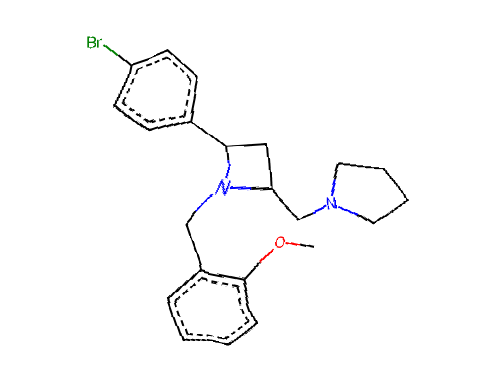 COc1ccccc1CN1C(CN2CCCC2)CC1c1ccc(Br)cc1